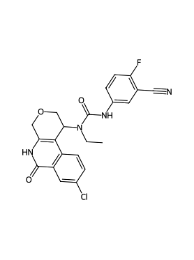 CCN(C(=O)Nc1ccc(F)c(C#N)c1)C1COCc2[nH]c(=O)c3cc(Cl)ccc3c21